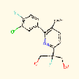 COc1ccc(C(F)(CO)CO)nc1-c1ccc(F)c(Cl)c1